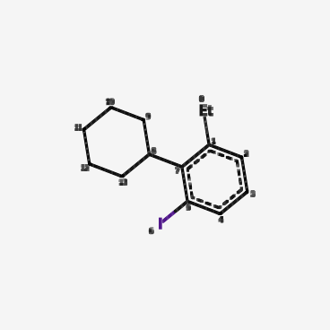 CCc1cccc(I)c1C1CCCCC1